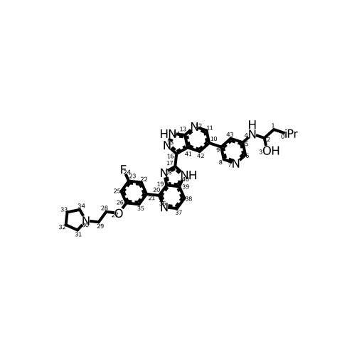 CC(C)CC(O)Nc1cncc(-c2cnc3[nH]nc(-c4nc5c(-c6cc(F)cc(OCCN7CCCC7)c6)nccc5[nH]4)c3c2)c1